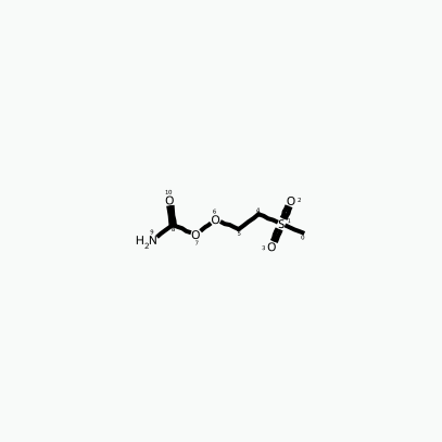 CS(=O)(=O)CCOOC(N)=O